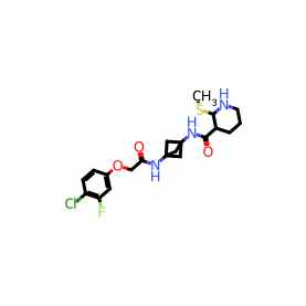 CSC1NCCCC1C(=O)NC12CC(NC(=O)COc3ccc(Cl)c(F)c3)(C1)C2